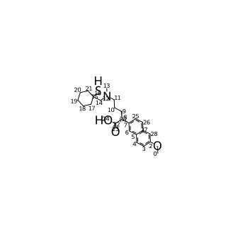 COc1ccc2cc([C@H](CCCN(C)CC3(S)CCCCC3)C(=O)O)ccc2c1